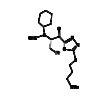 CNCCCSc1nnc(C(=O)[C@H](CC(C)C)N(C=O)C2CCCCC2)o1